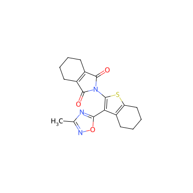 Cc1noc(-c2c(N3C(=O)C4=C(CCCC4)C3=O)sc3c2CCCC3)n1